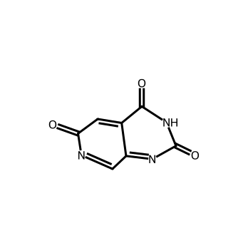 O=C1C=C2C(=O)NC(=O)N=C2C=N1